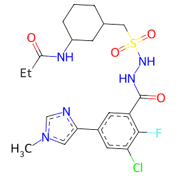 CCC(=O)NC1CCCC(CS(=O)(=O)NNC(=O)c2cc(-c3cn(C)cn3)cc(Cl)c2F)C1